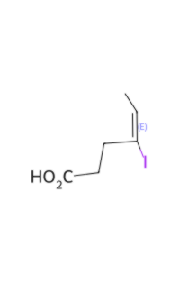 C/C=C(/I)CCC(=O)O